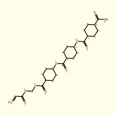 C=CC(=O)OCOC(=O)C1CCC(OC(=O)C2CCC(OC(=O)C3CCC(C(=O)O)CC3)CC2)CC1